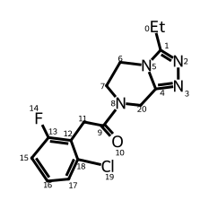 CCc1nnc2n1CCN(C(=O)Cc1c(F)cccc1Cl)C2